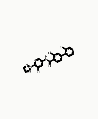 O=C(Nc1cnc(-n2nccn2)c(Cl)c1)c1ccc(-c2ccncc2Cl)cc1Cl